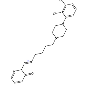 O=C1C=CC=NC1/N=C/CCCCN1CCN(c2cccc(Cl)c2Cl)CC1